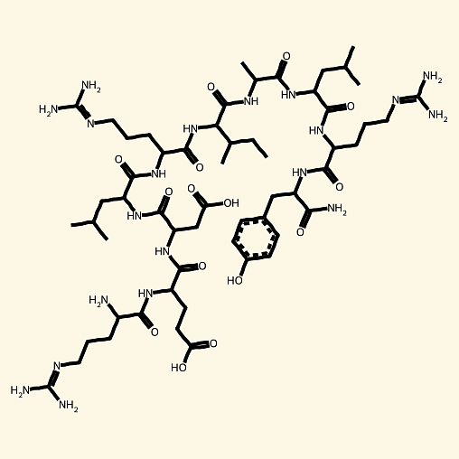 CCC(C)C(NC(=O)C(CCCN=C(N)N)NC(=O)C(CC(C)C)NC(=O)C(CC(=O)O)NC(=O)C(CCC(=O)O)NC(=O)C(N)CCCN=C(N)N)C(=O)NC(C)C(=O)NC(CC(C)C)C(=O)NC(CCCN=C(N)N)C(=O)NC(Cc1ccc(O)cc1)C(N)=O